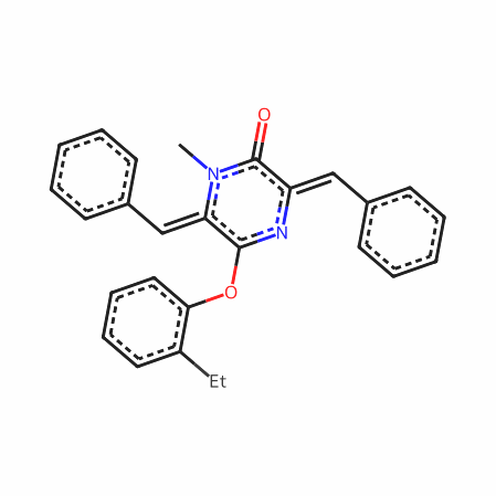 CCc1ccccc1Oc1nc(=Cc2ccccc2)c(=O)n(C)c1=Cc1ccccc1